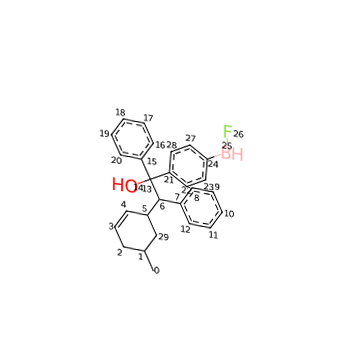 CC1CC=CC(C(c2ccccc2)C(O)(c2ccccc2)c2ccc(BF)cc2)C1